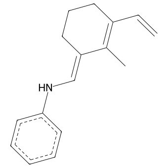 C=CC1=C(C)/C(=C/Nc2ccccc2)CCC1